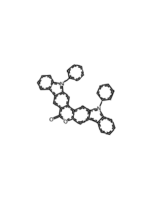 O=c1oc2cc3c4ccccc4n(-c4ccccc4)c3cc2c2cc3c(cc12)c1ccccc1n3-c1ccccc1